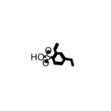 C=Cc1cc(CC)ccc1S(=O)(=O)O